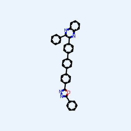 c1ccc(-c2nnc(-c3ccc(-c4ccc(-c5ccc(-c6nc7ccccc7nc6-c6ccccc6)cc5)cc4)cc3)o2)cc1